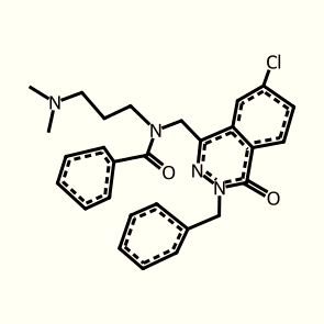 CN(C)CCCN(Cc1nn(Cc2ccccc2)c(=O)c2ccc(Cl)cc12)C(=O)c1ccccc1